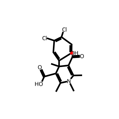 CC1=C(C(=O)O)C(C)(c2ccc(Cl)c(Cl)c2)C(C(=O)O)=C(C)N1C